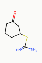 N=C(N)SC1CCCC(=O)C1